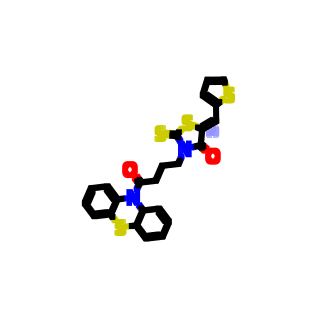 O=C1/C(=C/c2cccs2)SC(=S)N1CCCC(=O)N1c2ccccc2SC2C=CC=CC21